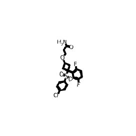 NC(=O)CCOC1CC(c2cc(F)ccc2F)(S(=O)(=O)c2ccc(Cl)cc2)C1